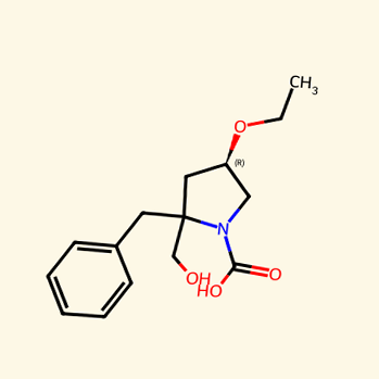 CCO[C@H]1CN(C(=O)O)C(CO)(Cc2ccccc2)C1